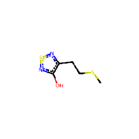 CSCCc1nsnc1O